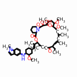 CCC1/C=C(\C)CC(C)CC(OC)C2OC(O)(C(=O)C(=O)N3CCCCC3C(=O)OC(C(C)=CC3CCC(Nc4ccc5c(ccn5C)c4)C(OC)C3)C(C)CCC1=O)C(C)CC2OC